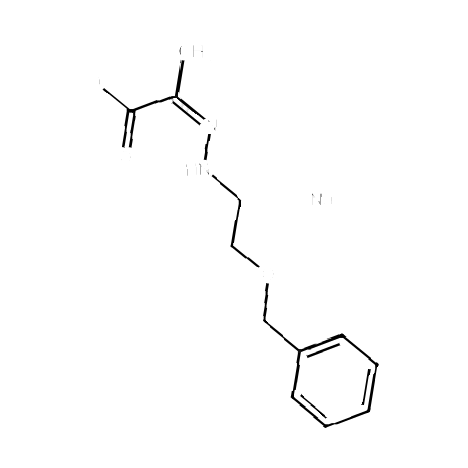 CC(=NNCCOCc1ccccc1)C(=O)[O-].[Na+]